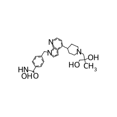 CC(O)(CO)CN1CCC(c2ccnc3c2ccn3Cc2ccc(C(=O)NO)cc2)CC1